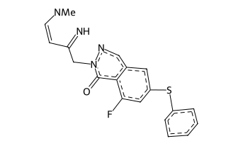 CN/C=C\C(=N)Cn1ncc2cc(Sc3ccccc3)cc(F)c2c1=O